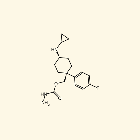 NNC(=O)OC[C@]1(c2ccc(F)cc2)CC[C@H](NC2CC2)CC1